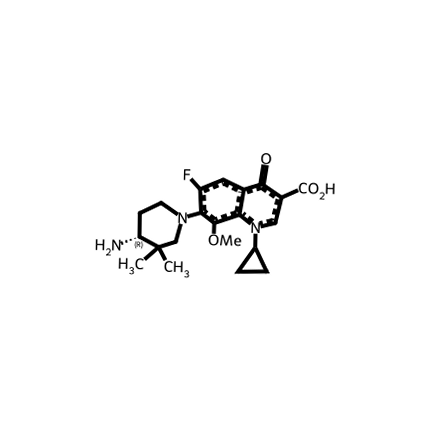 COc1c(N2CC[C@@H](N)C(C)(C)C2)c(F)cc2c(=O)c(C(=O)O)cn(C3CC3)c12